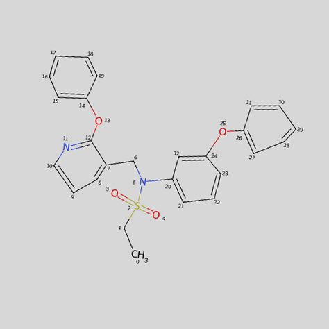 CCS(=O)(=O)N(Cc1cccnc1Oc1ccccc1)c1cccc(Oc2ccccc2)c1